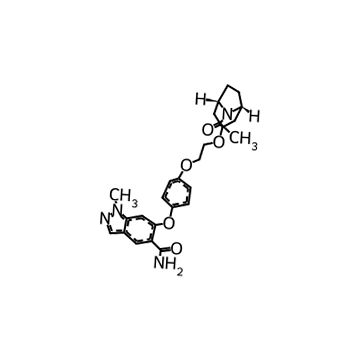 CC(=O)N1[C@@H]2CC[C@H]1CC(OCCOc1ccc(Oc3cc4c(cnn4C)cc3C(N)=O)cc1)C2